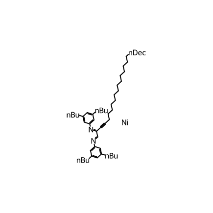 CCCCCCCCCCCCCCCCCCCCCCCCC#CC(C=Nc1cc(CCCC)cc(CCCC)c1)=Nc1cc(CCCC)cc(CCCC)c1.[Ni]